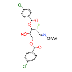 CON=C[C@@H](F)[C@H](OC(=O)c1ccc(Cl)cc1)[C@H](O)COC(=O)c1ccc(Cl)cc1